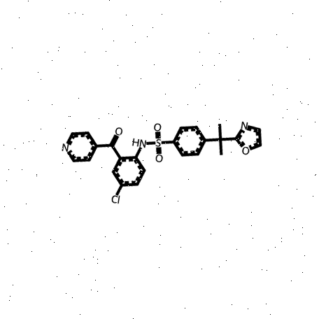 CC(C)(c1ccc(S(=O)(=O)Nc2ccc(Cl)cc2C(=O)c2ccncc2)cc1)c1ncco1